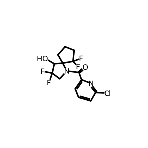 O=C(c1cccc(Cl)n1)N1CC(F)(F)C(O)C12CCCC2(F)F